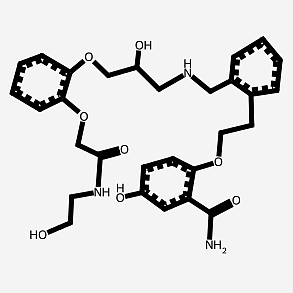 NC(=O)c1cc(O)ccc1OCCc1ccccc1CNCC(O)COc1ccccc1OCC(=O)NCCO